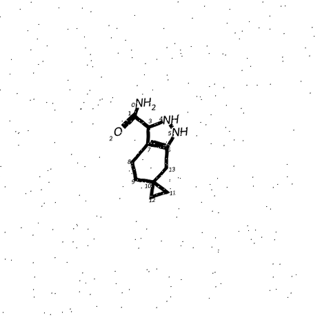 NC(=O)C1NNC2=C1CCC1(CC1)C2